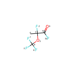 CC(F)(OC(F)(F)F)C(=O)F